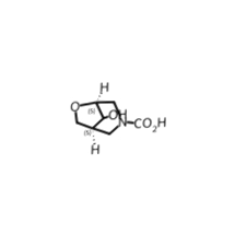 O=C(O)N1C[C@H]2CO[C@@H](C1)C2O